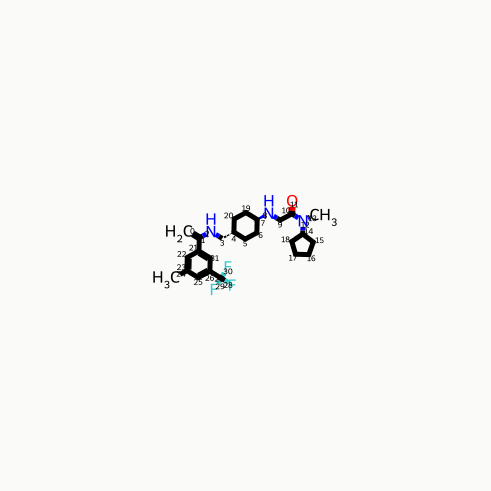 C=C(NC[C@H]1CC[C@H](NCC(=O)N(C)C2CCCC2)CC1)c1cc(C)cc(C(F)(F)F)c1